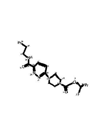 CCCC(F)OC(=O)N1CCN(c2ccc(C(=O)NCCC(C)C)nn2)CC1